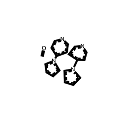 C=O.c1ccn(-c2ccncc2)c1.c1ccn(-c2ccncc2)c1